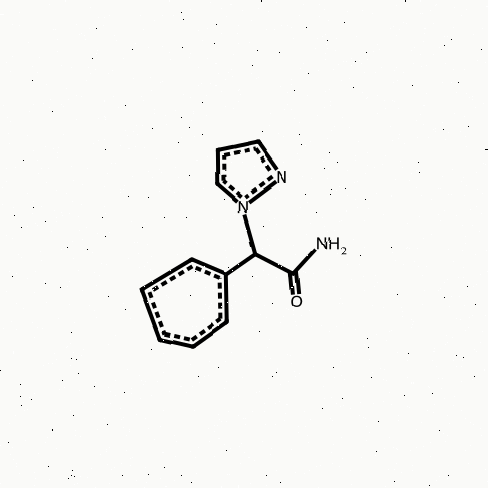 NC(=O)C(c1ccccc1)n1cccn1